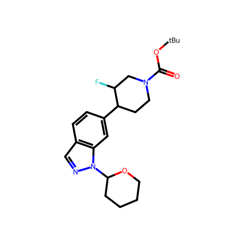 CC(C)(C)OC(=O)N1CCC(c2ccc3cnn(C4CCCCO4)c3c2)C(F)C1